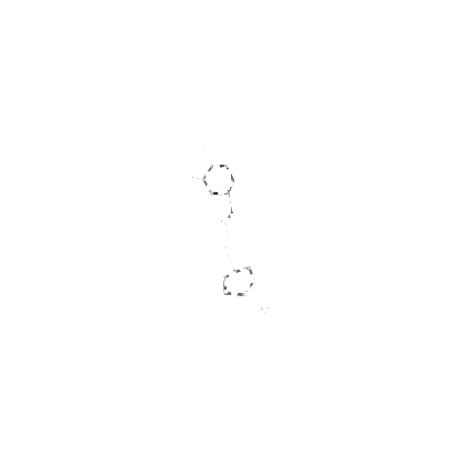 COc1ccc(/C=N/N=C/c2ccc(C)c(F)c2)cc1